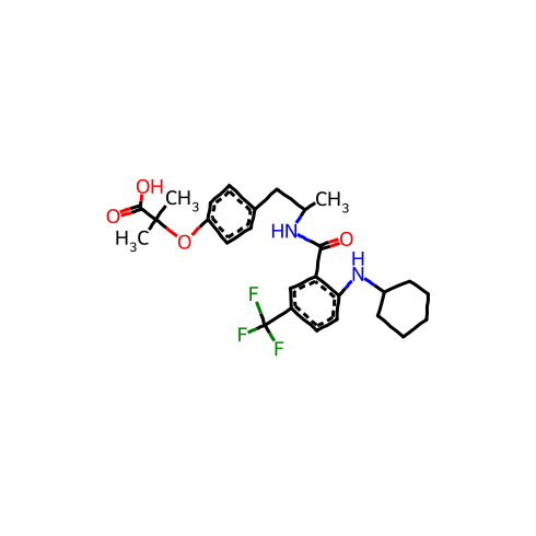 CC(Cc1ccc(OC(C)(C)C(=O)O)cc1)NC(=O)c1cc(C(F)(F)F)ccc1NC1CCCCC1